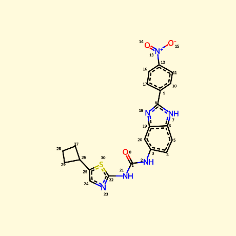 O=C(Nc1ccc2[nH]c(-c3ccc([N+](=O)[O-])cc3)nc2c1)Nc1ncc(C2CCC2)s1